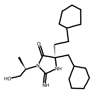 C[C@H](CO)N1C(=N)N[C@](CCC2CCCCC2)(CC2CCCCC2)C1=O